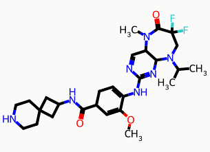 COC1=CC(C(=O)NC2CC3(CCNCC3)C2)CC=C1NC1=NC2C(C=N1)N(C)C(=O)C(F)(F)CN2C(C)C